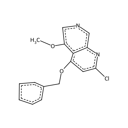 COc1cncc2nc(Cl)cc(OCc3ccccc3)c12